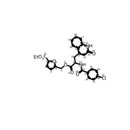 CCOC(=O)c1ccc(COC(=O)C(Cc2cc(=O)[nH]c3ccccc23)NC(=O)c2ccc(Cl)cc2)o1